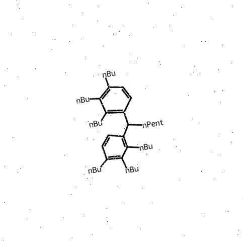 CCCCC[C](c1ccc(CCCC)c(CCCC)c1CCCC)c1ccc(CCCC)c(CCCC)c1CCCC